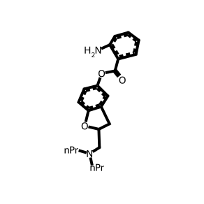 CCCN(CCC)CC1Cc2cc(OC(=O)c3ccccc3N)ccc2O1